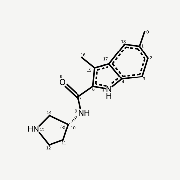 Cc1ccc2[nH]c(C(=O)N[C@@H]3CCNC3)c(C)c2c1